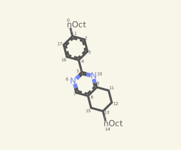 CCCCCCCCc1ccc(-c2ncc3c(n2)CCC(CCCCCCCC)C3)cc1